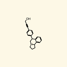 OCC#Cc1ccc(C2CN3CCCC3c3ccccc32)cc1